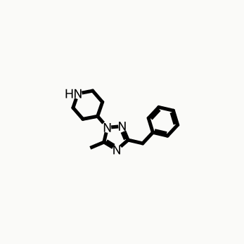 Cc1nc(Cc2ccccc2)nn1C1CCNCC1